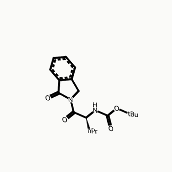 CCC[C@H](NC(=O)OC(C)(C)C)C(=O)N1Cc2ccccc2C1=O